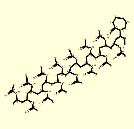 CCC(CC(CC(CC(CC(CC(CC(CC(CC(CC(CC(CC(CC(CC(CC(C)OC(C)=O)OC(C)=O)OC(C)=O)OC(C)=O)OC(C)=O)OC(C)=O)OC(C)=O)OC(C)=O)OC(C)=O)OC(C)=O)OC(C)=O)OC(C)=O)OC(C)=O)OC(C)=O)N1CCCCCC1=O